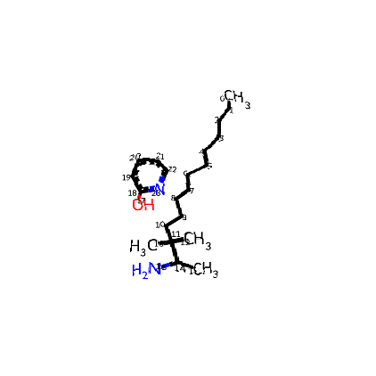 CCCCCCCCCCCC(C)(C)C(C)N.Oc1ccccn1